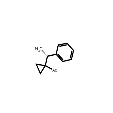 CC(=O)C1([C@H](C)c2ccccc2)CC1